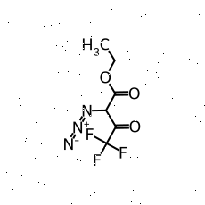 CCOC(=O)C(N=[N+]=[N-])C(=O)C(F)(F)F